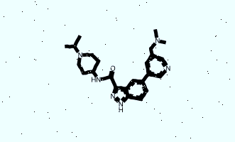 CC(C)N1CCC(NC(=O)c2n[nH]c3ccc(-c4cncc(CN(C)C)c4)cc23)CC1